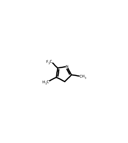 CC1=NC(C(F)(F)F)=C(C)C1